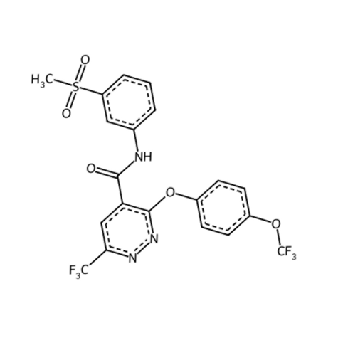 CS(=O)(=O)c1cccc(NC(=O)c2cc(C(F)(F)F)nnc2Oc2ccc(OC(F)(F)F)cc2)c1